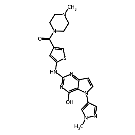 CN1CCN(C(=O)c2csc(Nc3nc(O)c4c(ccn4-c4cnn(C)c4)n3)c2)CC1